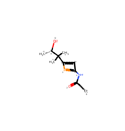 CCC(=O)NC1=PC(C(C)(C)[C@H](C)O)=C1